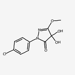 COC1=NN(c2ccc(Cl)cc2)C(=O)C1(O)O